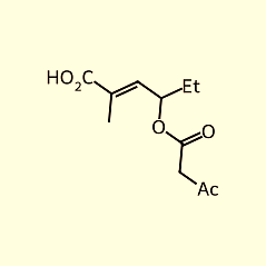 CCC(C=C(C)C(=O)O)OC(=O)CC(C)=O